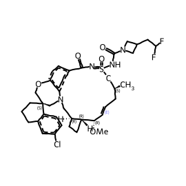 CO[C@H]1/C=C/C[C@H](C)CS(=O)(NC(=O)N2CC(CC(F)F)C2)=NC(=O)c2ccc3c(c2)N(C[C@@H]2CC[C@H]21)C[C@@]1(CCCc2cc(Cl)ccc21)CO3